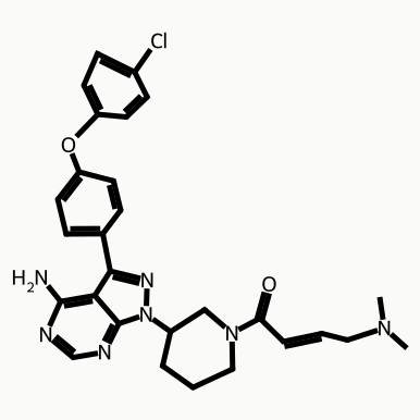 CN(C)C/C=C/C(=O)N1CCCC(n2nc(-c3ccc(Oc4ccc(Cl)cc4)cc3)c3c(N)ncnc32)C1